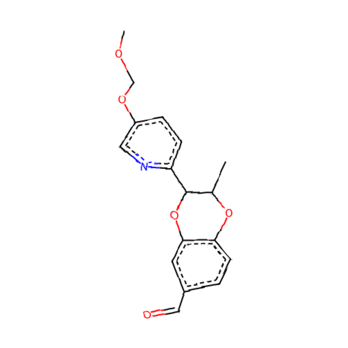 COCOc1ccc(C2Oc3cc(C=O)ccc3OC2C)nc1